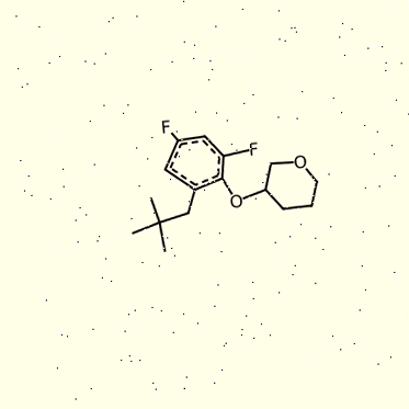 CC(C)(C)Cc1cc(F)cc(F)c1OC1CCCOC1